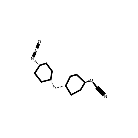 N#CO[C@H]1CC[C@H](C[C@H]2CC[C@@H](N=C=O)CC2)CC1